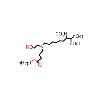 CCCCCCCCC(CCCCCCCC)C(CCCCCCN(CCO)CCCC(=O)OCCCCCCC)C(=O)O